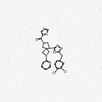 O=C(c1cncs1)N1CC(c2nnc(Cc3ccc(Cl)c(Cl)c3)o2)C2(C1)CN(c1ccccn1)C2